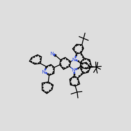 CC(C)(C)c1ccc2c(c1)c1cc(C(C)(C)C)ccc1n2-c1cc(C#N)c(-c2cc(-c3ccccc3)nc(-c3ccccc3)c2)cc1-n1c2ccc(C(C)(C)C)cc2c2cc(C(C)(C)C)ccc21